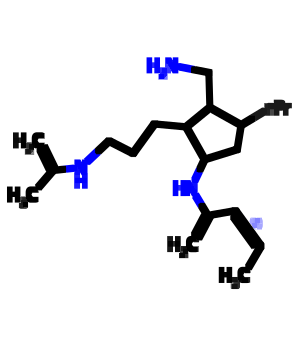 C=C(C)NCCCC1C(NC(=C)/C=C\C)CC(CCC)C1CN